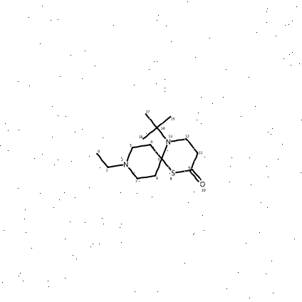 CCN1CCC2(CC1)SC(=O)CCN2C(C)(C)C